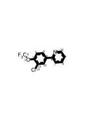 FC(F)(F)Oc1ccc(-c2[c]cccn2)cc1Cl